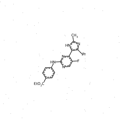 CCOC(=O)c1ccc(Nc2ncc(F)c(-c3[nH]c(C)nc3C(C)C)n2)cc1